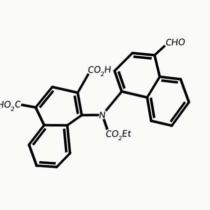 CCOC(=O)N(c1ccc(C=O)c2ccccc12)c1c(C(=O)O)cc(C(=O)O)c2ccccc12